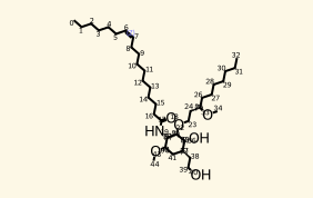 CCCCCC/C=C\CCCCCCCCCC(=O)N[C@@H]1[C@@H](OCC[C@@H](CCCCCCC)OC)[C@H](O)[C@@H](CCO)C[C@H]1OC